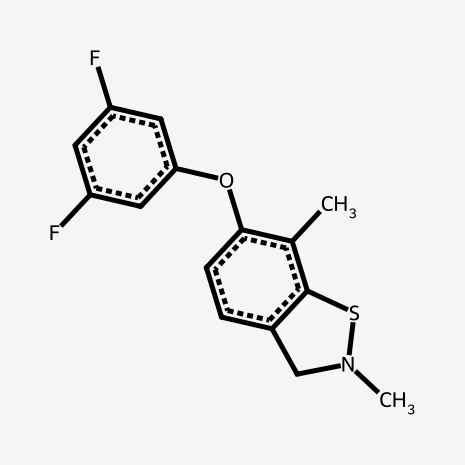 Cc1c(Oc2cc(F)cc(F)c2)ccc2c1SN(C)C2